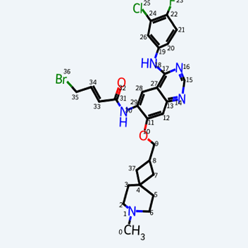 CN1CCC2(CC1)CC(COc1cc3ncnc(Nc4ccc(F)c(Cl)c4)c3cc1NC(=O)C=CCBr)C2